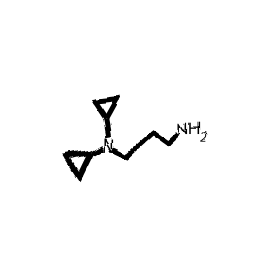 NCCCN(C1CC1)C1CC1